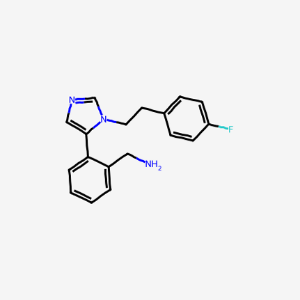 NCc1ccccc1-c1cncn1CCc1ccc(F)cc1